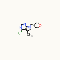 FC(F)(F)c1cn(CC2CCOCC2)c2ncnc(Cl)c12